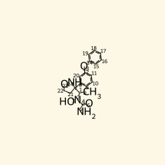 CC(N(O)C(N)=O)C1(c2cccc(Oc3ccccc3)c2)CCON1